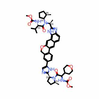 COC(=O)NC(C(=O)N1[C@@H](C)CC[C@H]1c1ncc(-c2ccc3c(c2)COc2cc4c(ccc5nc([C@H](C)N(C(=O)[C@@H](NC(=O)OC)C(C)C)[C@H]6CCC[C@H]6C)[nH]c54)cc2-3)[nH]1)C1CCOCC1